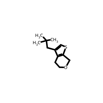 CC(C)(C)Cc1csc2c1CCOC2